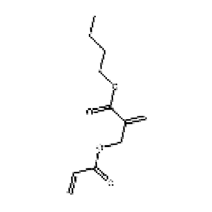 C=CC(=O)OCC(=C)C(=O)OCCCC